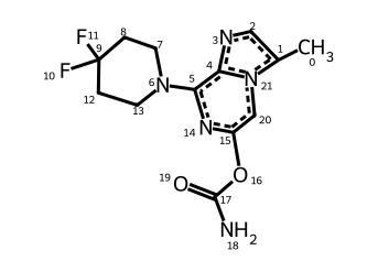 Cc1cnc2c(N3CCC(F)(F)CC3)nc(OC(N)=O)cn12